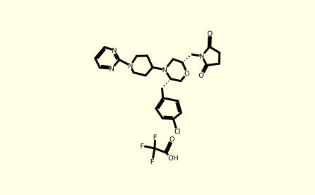 O=C(O)C(F)(F)F.O=C1CCC(=O)N1C[C@H]1CN(C2CCN(c3ncccn3)CC2)[C@@H](Cc2ccc(Cl)cc2)CO1